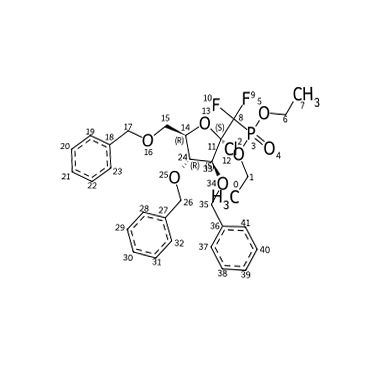 CCOP(=O)(OCC)C(F)(F)[C@]1(Cl)O[C@H](COCc2ccccc2)[C@@H](OCc2ccccc2)[C@@H]1OCc1ccccc1